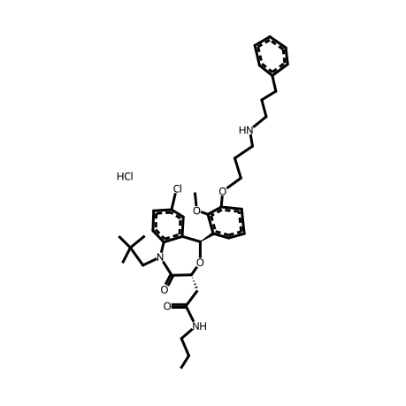 CCCNC(=O)C[C@H]1O[C@H](c2cccc(OCCCNCCCc3ccccc3)c2OC)c2cc(Cl)ccc2N(CC(C)(C)C)C1=O.Cl